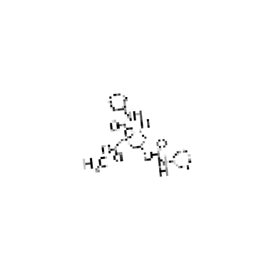 COC(=O)CC(CC(CC=O)OC(=O)Nc1ccccc1)OC(=O)Nc1ccccc1